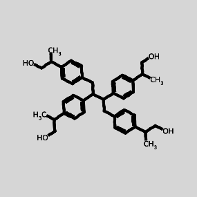 CC(CO)c1ccc(CC(c2ccc(C(C)CO)cc2)C(Cc2ccc(C(C)CO)cc2)c2ccc(C(C)CO)cc2)cc1